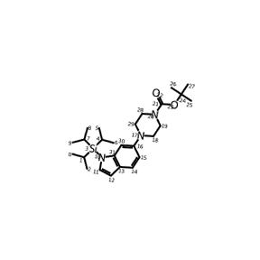 CC(C)[Si](C(C)C)(C(C)C)n1ccc2ccc(N3CCN(C(=O)OC(C)(C)C)CC3)cc21